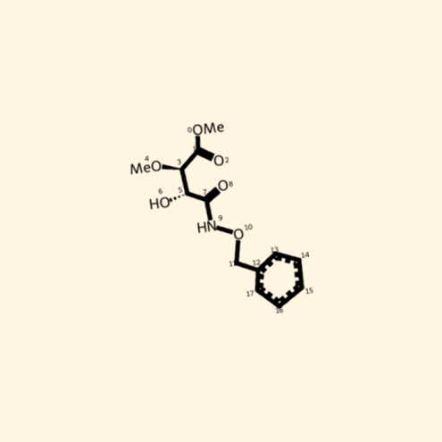 COC(=O)[C@H](OC)[C@@H](O)C(=O)NOCc1ccccc1